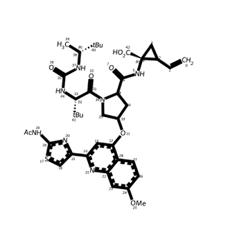 C=CC1C[C@]1(NC(=O)C1CC(Oc2cc(-c3csc(NC(C)=O)n3)nc3cc(OC)ccc23)CN1C(=O)[C@@H](NC(=O)N[C@H](C)C(C)(C)C)C(C)(C)C)C(=O)O